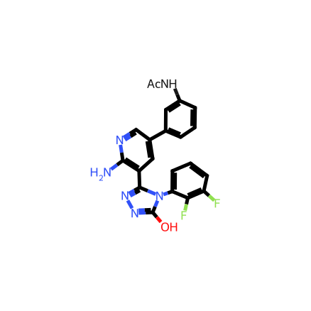 CC(=O)Nc1cccc(-c2cnc(N)c(-c3nnc(O)n3-c3cccc(F)c3F)c2)c1